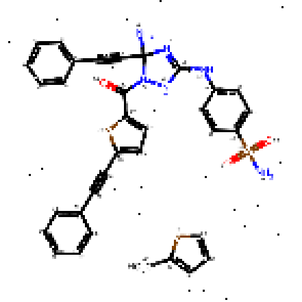 NC1(C#Cc2ccccc2)N=C(Nc2ccc(S(N)(=O)=O)cc2)NN1C(=O)c1ccc(C#Cc2ccccc2)s1.O=C(O)c1cccs1